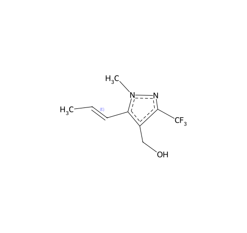 C/C=C/c1c(CO)c(C(F)(F)F)nn1C